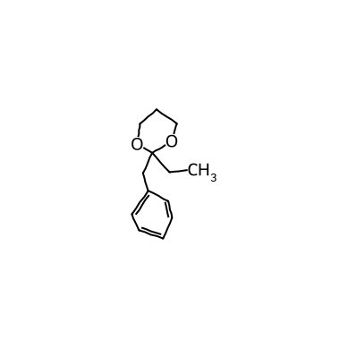 CCC1(Cc2ccccc2)OCCCO1